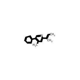 C/C=C(\C)c1cc(C)c(-c2ccccc2)cn1